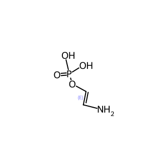 N/C=C/OP(=O)(O)O